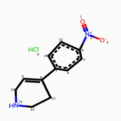 Cl.O=[N+]([O-])c1ccc(C2=CCNCC2)cc1